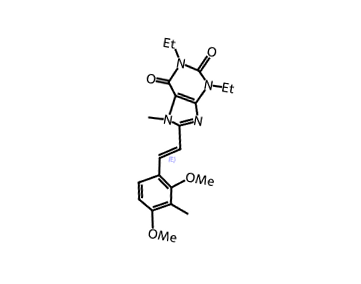 CCn1c(=O)c2c(nc(/C=C/c3ccc(OC)c(C)c3OC)n2C)n(CC)c1=O